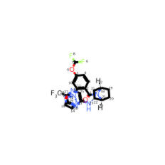 O=C(c1ccc(OC(F)F)cc1-n1nccn1)N1[C@@H]2CC[C@H]1[C@H](Nc1cnc(C(F)(F)F)cn1)C2